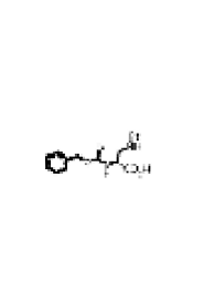 CCNC[C@@H](NC(=O)OCc1ccccc1)C(=O)O